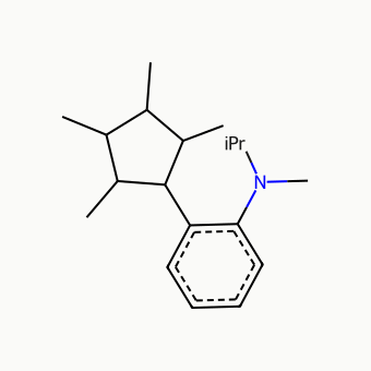 CC1C(C)C(C)C(c2ccccc2N(C)C(C)C)C1C